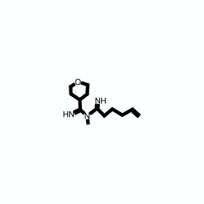 C=CCCCC(=N)N(C)C(=N)C1CCOCC1